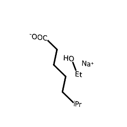 CC(C)CCCCC(=O)[O-].CCO.[Na+]